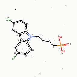 O=P(O)(O)CCCCn1c2ccc(Cl)cc2c2cc(Cl)ccc21